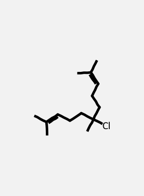 CC(C)=CCCC(C)(Cl)CCC=C(C)C